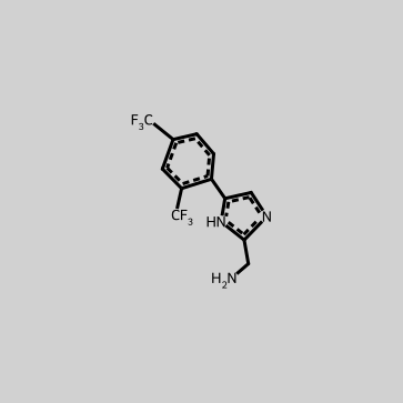 NCc1ncc(-c2ccc(C(F)(F)F)cc2C(F)(F)F)[nH]1